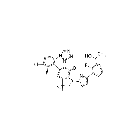 CC(O)c1nccc(-c2cnc([C@H]3CC4(CC4)c4cc(-c5c(-n6cnnn6)ccc(Cl)c5F)cc(=O)n43)[nH]2)c1F